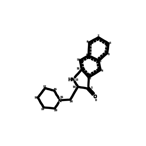 O=C1c2cc3ccccc3cc2NC1CN1CCCCC1